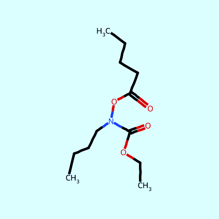 CCCCC(=O)ON(CCCC)C(=O)OCC